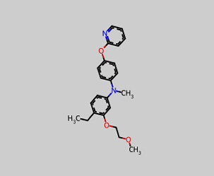 CCc1ccc(N(C)c2ccc(Oc3ccccn3)cc2)cc1OCCOC